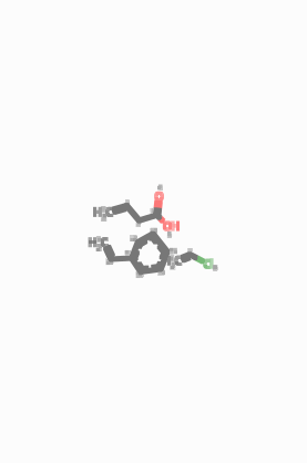 C=CCC(=O)O.C=CCl.C=Cc1ccccc1